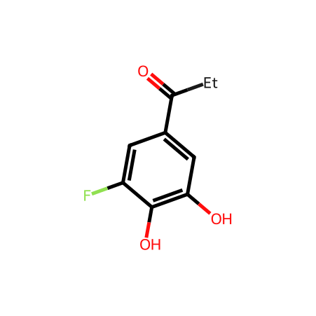 CCC(=O)c1cc(O)c(O)c(F)c1